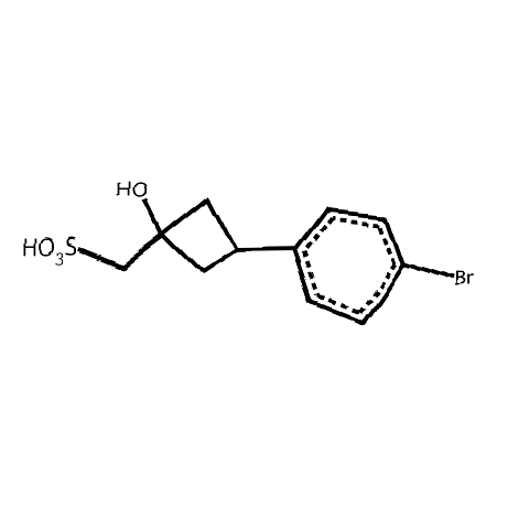 O=S(=O)(O)CC1(O)CC(c2ccc(Br)cc2)C1